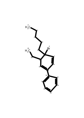 CCCCCC1(Br)C=CC(c2ccccc2)=CC1CC